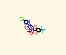 CC(O)[C@@H]1C(=O)N(c2ncc(Cl)cc2F)CC(=O)N1Cc1ccc(C(F)(F)F)cc1